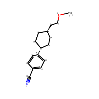 COCC[C@H]1CC[C@H](c2ccc(C#N)cc2)CC1